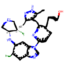 Cc1[nH]nc(C#N)c1-c1nc(-n2cnc3cc(F)c(N[C@@H]4CNC[C@@H]4F)cc32)ccc1CCO